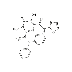 CN(c1nc(C(=O)Nc2nnco2)c(O)c(=O)n1C)C(c1ccccc1)c1ccccc1